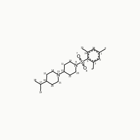 Cc1cc(C)c(S(=O)(=O)N2CCC(N3CCC(C(C)C)CC3)CC2)c(C)c1